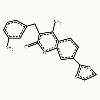 Cc1c(Cc2cccc(N)c2)c(=O)oc2cc(-c3nccs3)ccc12